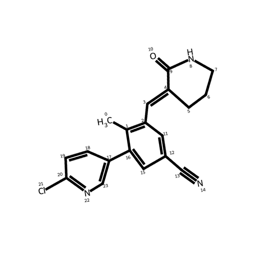 Cc1c(/C=C2\CCCNC2=O)cc(C#N)cc1-c1ccc(Cl)nc1